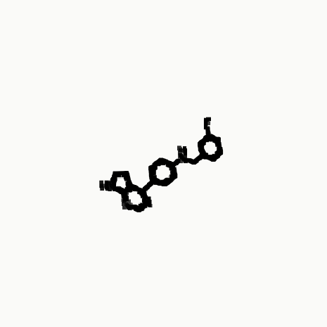 Fc1cccc(CNc2ccc(-c3ncnc4[nH]ccc34)cc2)c1